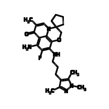 Cc1nn(C)c(C)c1CCCNc1c(F)c(N)c2c(=O)c(C)cn3c2c1OCC31CCCC1